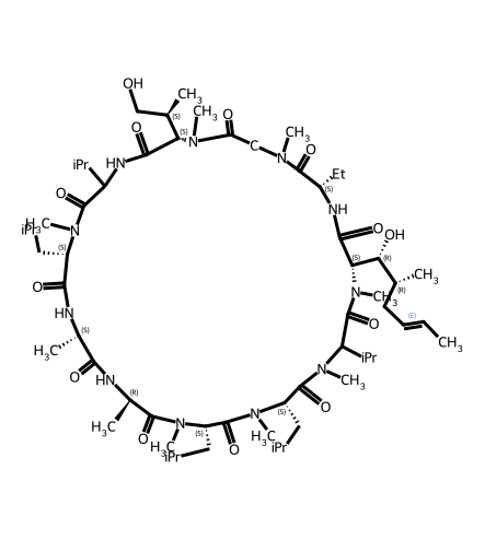 C/C=C/C[C@@H](C)[C@@H](O)[C@H]1C(=O)N[C@@H](CC)C(=O)N(C)CC(=O)N(C)[C@@H]([C@H](C)CO)C(=O)NC(C(C)C)C(=O)N(C)[C@@H](CC(C)C)C(=O)N[C@@H](C)C(=O)N[C@H](C)C(=O)N(C)[C@@H](CC(C)C)C(=O)N(C)[C@@H](CC(C)C)C(=O)N(C)C(C(C)C)C(=O)N1C